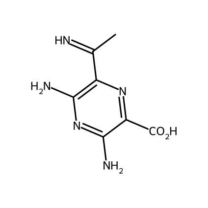 CC(=N)c1nc(C(=O)O)c(N)nc1N